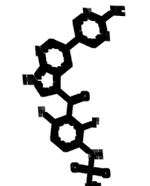 [C-]#[N+]c1ncc(-c2cnc3[nH]cc(C(=O)c4c(F)ccc(NS(=O)(=O)CCC)c4F)c3c2)cn1